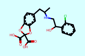 CC(Cc1ccc2c(c1)OC(C(=O)O)(C(=O)O)O2)NCC(O)c1ccccc1Cl